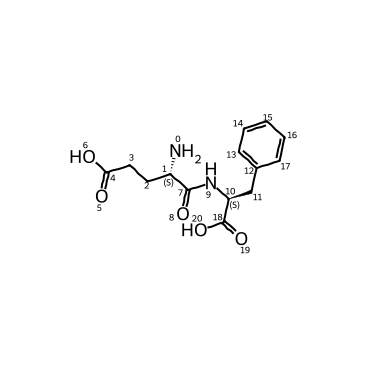 N[C@@H](CCC(=O)O)C(=O)N[C@@H](Cc1ccccc1)C(=O)O